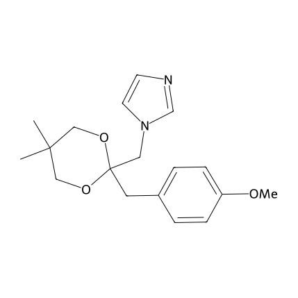 COc1ccc(CC2(Cn3ccnc3)OCC(C)(C)CO2)cc1